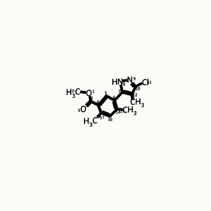 COC(=O)c1cc(-c2[nH]nc(Cl)c2C)c(C)cc1C